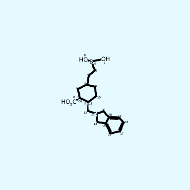 O=C(O)[C@H]1CC(CCB(O)O)CC[C@H]1CN1Cc2ccccc2C1